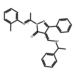 C/C(=N\c1ccccc1C)N1N=C(c2ccccc2)/C(=C\NC(C)c2ccccc2)C1=O